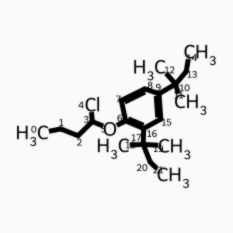 CCCC(Cl)Oc1ccc(C(C)(C)CC)cc1C(C)(C)CC